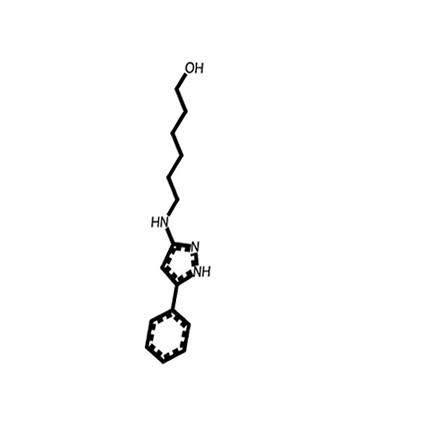 OCCCCCCNc1cc(-c2ccccc2)[nH]n1